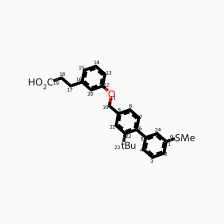 CSc1cccc(-c2ccc(COc3cccc(CCC(=O)O)c3)cc2C(C)(C)C)c1